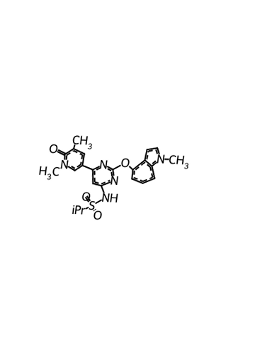 Cc1cc(-c2cc(NS(=O)(=O)C(C)C)nc(Oc3cccc4c3ccn4C)n2)cn(C)c1=O